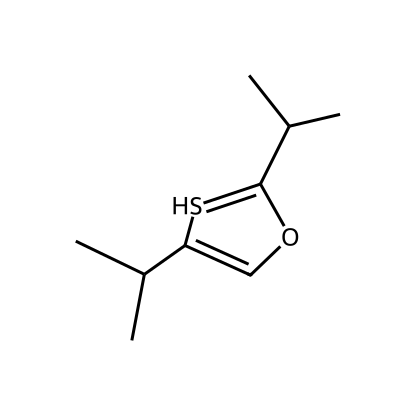 CC(C)C1=COC(C(C)C)=[SH]1